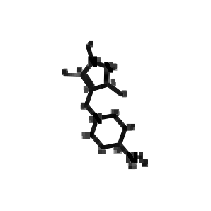 Cc1nn(C)c(C)c1CN1CCC(N)CC1